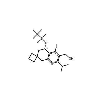 CC(C)c1nc2c(c(I)c1CO)[C@@H](O[Si](C)(C)C(C)(C)C)CC1(CCC1)C2